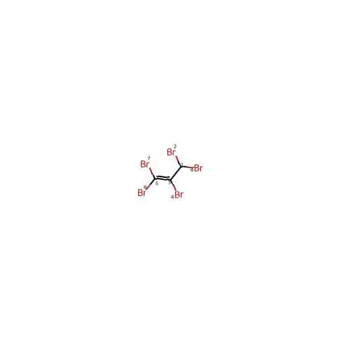 Br[C](Br)C(Br)=C(Br)Br